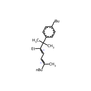 CCCC/C(C)=C/C=C(\CC)C(C)(C)c1ccc(C(C)CC)cc1